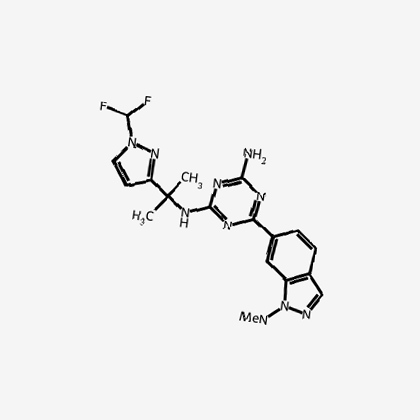 CNn1ncc2ccc(-c3nc(N)nc(NC(C)(C)c4ccn(C(F)F)n4)n3)cc21